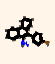 Nc1c(-c2ccc(Br)cc2)c2ccccc2c2ccccc12